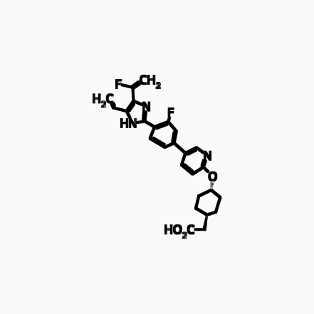 C=Cc1[nH]c(-c2ccc(-c3ccc(O[C@H]4CC[C@H](CC(=O)O)CC4)nc3)cc2F)nc1C(=C)F